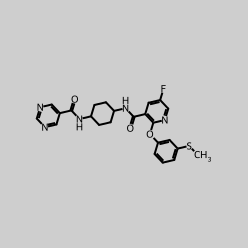 CSc1cccc(Oc2ncc(F)cc2C(=O)NC2CCC(NC(=O)c3cncnc3)CC2)c1